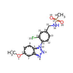 COc1ccc2c(c1)nnn2-c1ccc(CNS(C)(=O)=O)cc1F